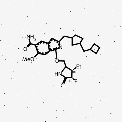 CC[C@@H]1C(COc2nc(CC3CCC(CC4CCC4)C3)cc3cc(C(N)=O)c(OC)cc23)NC(=O)[C@@H]1F